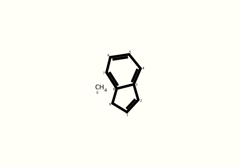 C.C1=Cc2ccccc2C1